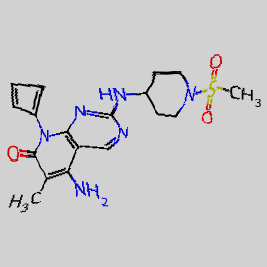 Cc1c(N)c2cnc(NC3CCN(S(C)(=O)=O)CC3)nc2n(C2=CC=C2)c1=O